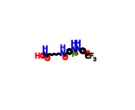 O=C(CCCCCCNC(=O)c1ccc(NC(=S)Nc2ccc(OC(F)(F)F)cc2)c(F)c1)NO